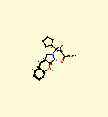 COC(=O)C1O[C@@]1(C1CCCC1)N1CC2=Cc3ccccc3OC2C1